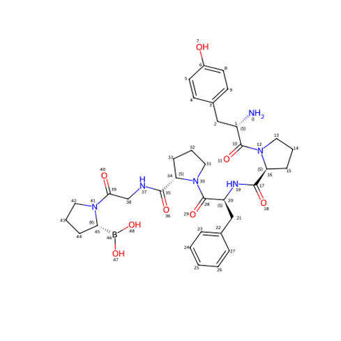 N[C@@H](Cc1ccc(O)cc1)C(=O)N1CCC[C@H]1C(=O)N[C@@H](Cc1ccccc1)C(=O)N1CCC[C@H]1C(=O)NCC(=O)N1CCC[C@H]1B(O)O